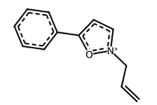 C=CC[n+]1ccc(-c2ccccc2)o1